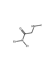 CCN(CC)C(=O)CNI